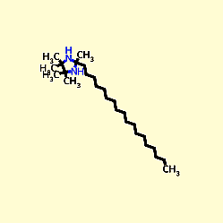 CCCCCCCCCCCCCCCCCCC1(C)NC(C)(C)C(C)(C)N1